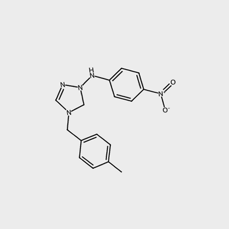 Cc1ccc(CN2C=NN(Nc3ccc([N+](=O)[O-])cc3)C2)cc1